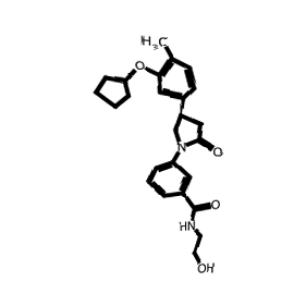 Cc1ccc([C@H]2CC(=O)N(c3cccc(C(=O)NCCO)c3)C2)cc1OC1CCCC1